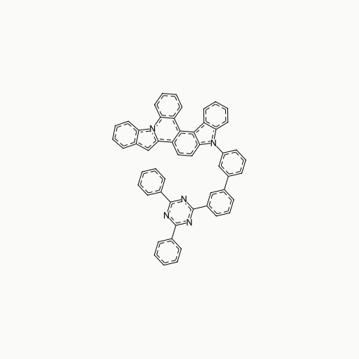 c1ccc(-c2nc(-c3ccccc3)nc(-c3cccc(-c4cccc(-n5c6ccccc6c6c7c8ccccc8n8c9ccccc9cc8c7ccc65)c4)c3)n2)cc1